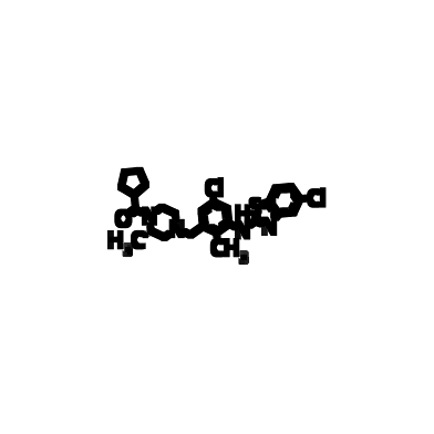 Cc1c(CN2CCN(C(=O)C3CCCC3)[C@@H](C)C2)cc(Cl)cc1Nc1nc2cc(Cl)ccc2s1